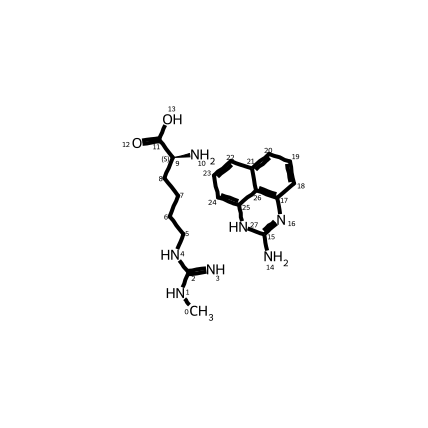 CNC(=N)NCCCC[C@H](N)C(=O)O.NC1=Nc2cccc3cccc(c23)N1